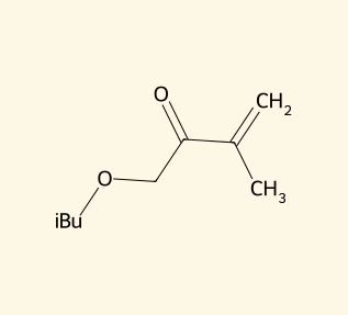 C=C(C)C(=O)COC(C)CC